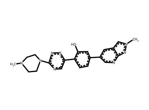 CN1CCN(c2ncc(-c3ccc(-c4cnc5nn(C)cc5c4)cc3O)nn2)CC1